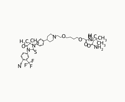 CC(C)(C)[C@H](NC(=O)COCCCCOCCN1CCC(c2ccc(N3C(=S)N(c4ccc(C#N)c(C(F)(F)F)c4)C(=O)C3(C)C)cc2)CC1)C(N)=O